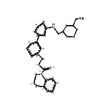 NCC1CCCC(CNc2cccc(-c3cccc(CCC(=O)N4CCCc5ccccc54)c3)c2)C1